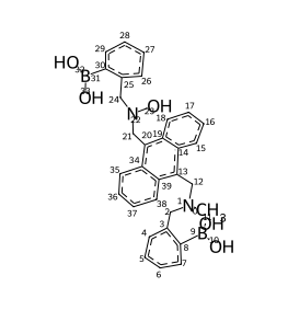 CN(Cc1ccccc1B(O)O)Cc1c2ccccc2c(CN(O)Cc2ccccc2B(O)O)c2ccccc12